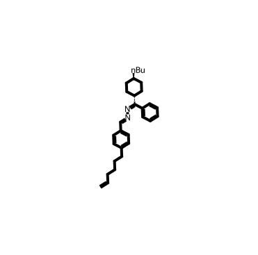 C=CCCCCc1ccc(C=NN=C(c2ccccc2)[C@H]2CC[C@H](CCCC)CC2)cc1